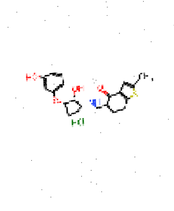 Cc1cc2c(s1)CCC(CN[C@@H]1CC[C@@H](Oc3cccc(O)c3)[C@@H]1O)C2=O.Cl